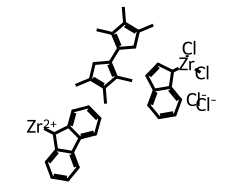 CC1=C(C)C(C)=C(C2=C(C)C(C)=C(C)C2)C1.[Cl-].[Cl-].[Cl][Zr]([Cl])[CH]1C=Cc2ccccc21.[Zr+2][CH]1c2ccccc2-c2ccccc21